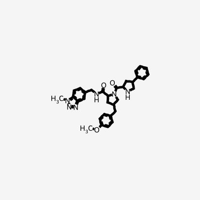 COc1ccc(CC2CC(C(=O)NCc3ccc4c(c3)nnn4C)N(C(=O)C3CC(c4ccccc4)CN3)C2)cc1